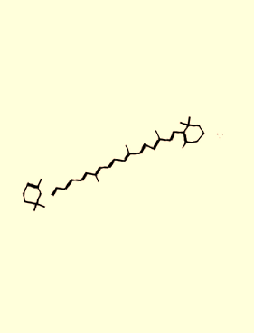 CO[C@@H]1CC(C)=C(/C=C/C(C)=C/C=C/C(C)=C/C=C/C=C(C)/C=C/C=C/C=C/[C@H]2C(C)=CCCC2(C)C)C(C)(C)C1